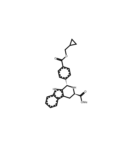 COC(=O)[C@H]1Cc2c([nH]c3ccccc23)[C@H](c2ccc(C(=O)OCC3CC3)cc2)N1